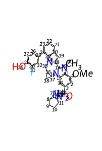 COc1cc(C(=O)N2CC3CCC2[C@@H]3N)cc2nc(-c3cc4cccc(-c5ccc(O)c(F)c5)c4n3CC3CC3)n(C)c12